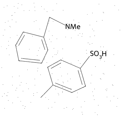 CNCc1ccccc1.Cc1ccc(S(=O)(=O)O)cc1